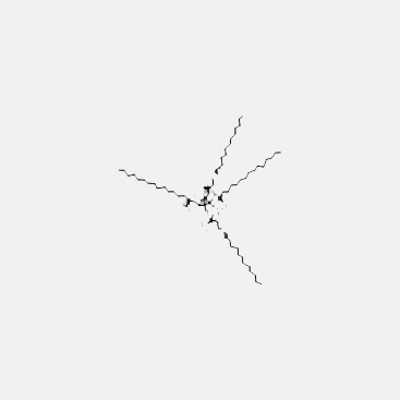 CCCCCCCCCCCCCCC(=S)OCC(COC(=O)CCSCCCCCCCCCCCC)(COC(=O)CCSCCCCCCCCCCCC)COC(=S)CCCCCCCCCCCCCC